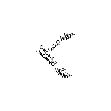 [Mn+2].[Mn+2].[Mn+2].[Mn+2].[Mn+2].[N-]=C=O.[N-]=C=O.[O-2].[O-2].[O-2].[O-2]